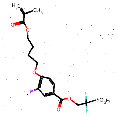 C=C(C)C(=O)OCCCCOc1ccc(C(=O)OCC(F)(F)S(=O)(=O)O)cc1I